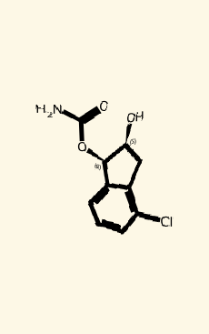 NC(=O)O[C@@H]1c2cccc(Cl)c2C[C@@H]1O